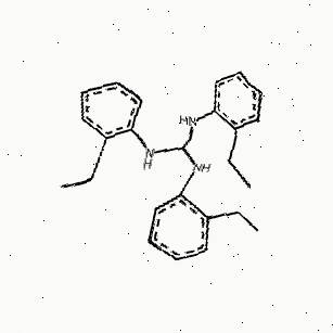 CCc1ccccc1NC(Nc1ccccc1CC)Nc1ccccc1CC